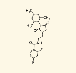 Cc1cc(C)c(C2C(=O)CC(CCNC(=O)c3ccc(F)cc3F)C2=O)c(C)c1